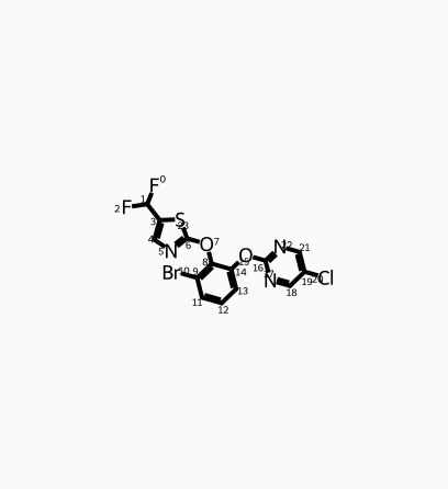 FC(F)c1cnc(Oc2c(Br)cccc2Oc2ncc(Cl)cn2)s1